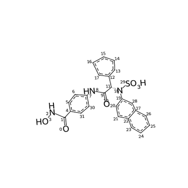 O=C(NO)c1ccc(NC(=O)[C@H](c2ccccc2)N(c2ccc3ccccc3c2)S(=O)(=O)O)cc1